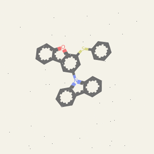 c1ccc(Sc2cc(-n3c4ccccc4c4ccccc43)cc3c2oc2ccccc23)cc1